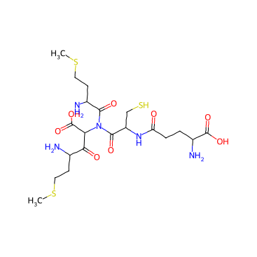 CSCCC(N)C(=O)C(C(=O)O)N(C(=O)C(N)CCSC)C(=O)C(CS)NC(=O)CCC(N)C(=O)O